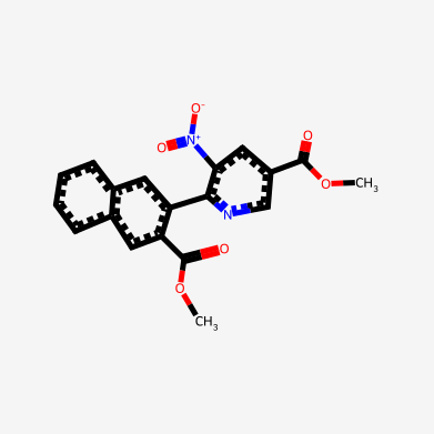 COC(=O)c1cnc(-c2cc3ccccc3cc2C(=O)OC)c([N+](=O)[O-])c1